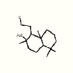 CC(=O)OC1(C)CCC2C(C)(C)CCCC2(C)C1CCCl